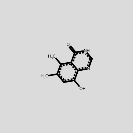 Cc1cc(O)c2nc[nH]c(=O)c2c1C